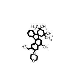 CC1(C)CC(C)(C)CC2(C1)c1ccccc1-c1c2cc(O)c2cc(N3CCOCC3)c(CS)cc12